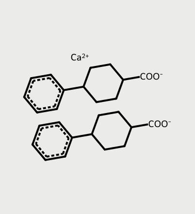 O=C([O-])C1CCC(c2ccccc2)CC1.O=C([O-])C1CCC(c2ccccc2)CC1.[Ca+2]